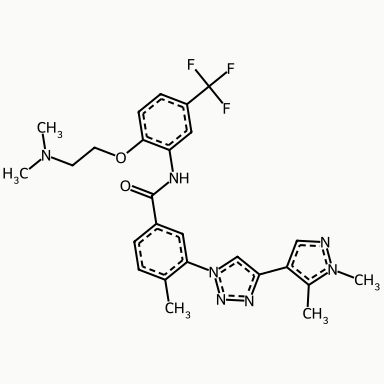 Cc1ccc(C(=O)Nc2cc(C(F)(F)F)ccc2OCCN(C)C)cc1-n1cc(-c2cnn(C)c2C)nn1